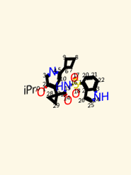 CC(C)Oc1cnc(C2CCC2)cc1C1(C(=O)NS(=O)(=O)c2cccc3[nH]ccc23)CC1